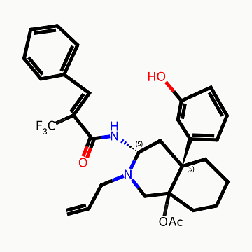 C=CCN1CC2(OC(C)=O)CCCC[C@@]2(c2cccc(O)c2)C[C@H]1NC(=O)C(=Cc1ccccc1)C(F)(F)F